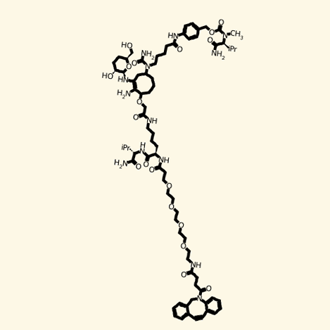 CC(C)[C@H](NC(=O)[C@@H](CCCCNC(=O)COC1CCCC(N(CCCCC(=O)Nc2ccc(COC(=O)N(C)[C@H](C(N)=O)C(C)C)cc2)C(N)=O)C/C(N[C@@H]2O[C@H](CO)CC[C@H]2O)=C\1N)NC(=O)CCOCCOCCOCCOCCNC(=O)CCC(=O)N1Cc2ccccc2C#Cc2ccccc21)C(N)=O